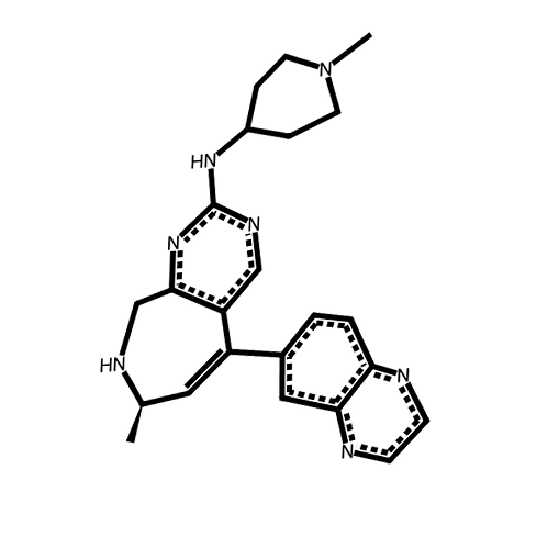 C[C@@H]1C=C(c2ccc3nccnc3c2)c2cnc(NC3CCN(C)CC3)nc2CN1